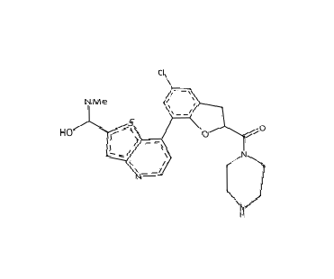 CNC(O)c1cc2nccc(-c3cc(Cl)cc4c3OC(C(=O)N3CCNCC3)C4)c2s1